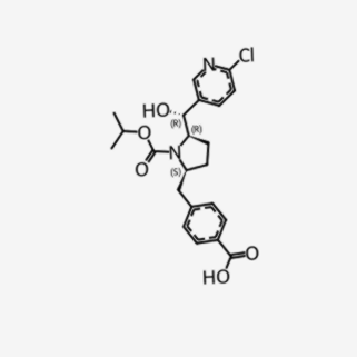 CC(C)OC(=O)N1[C@H](Cc2ccc(C(=O)O)cc2)CC[C@@H]1[C@H](O)c1ccc(Cl)nc1